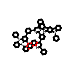 c1ccc(-c2cc(-c3ccc(-n4c5ccccc5c5cc6c7ccccc7n(-c7ccccc7)c6cc54)c(-c4nc(-c5ccccc5)cc(-c5cccc(-c6cc7c8c(c6)N(c6ccccc6)c6ccccc6B8c6ccccc6N7c6ccccc6)c5)n4)c3)nc(-c3ccccc3)n2)cc1